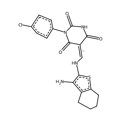 Nc1c(N/C=C2/C(=O)NC(=O)N(c3ccc(Cl)cc3)C2=O)sc2c1CCCC2